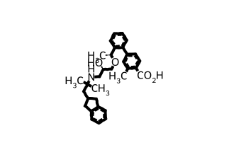 Cc1cc(-c2ccccc2[C@@H](C)OC[C@@H](O)CNC(C)(C)CC2Cc3ccccc3C2)ccc1C(=O)O